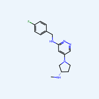 CN[C@H]1CCN(c2cnnc(NCc3ccc(F)cc3)c2)C1